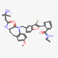 CCNC(=O)c1ccccc1-c1oc2ccc(CN3C(=O)[C@H](NC(=O)CC(C)(C)N)CCc4cc(OC)ccc43)cc2c1Br